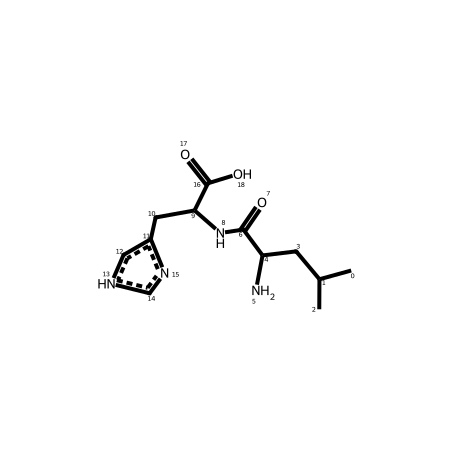 CC(C)CC(N)C(=O)NC(Cc1c[nH]cn1)C(=O)O